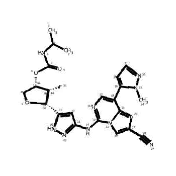 CC(C)NC(=O)O[C@H]1CO[C@@H](c2cc(Nc3ncc(-c4ccnn4C)c4nc(C#N)cn34)n[nH]2)[C@H]1F